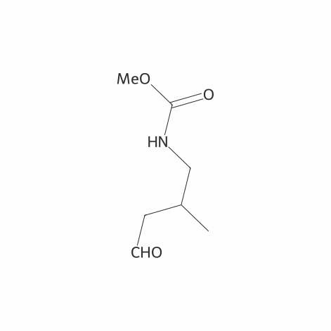 COC(=O)NCC(C)CC=O